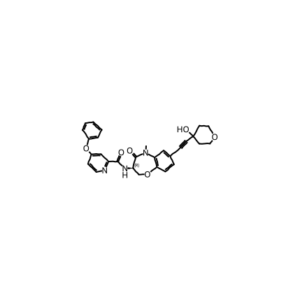 CN1C(=O)[C@H](NC(=O)c2cc(Oc3ccccc3)ccn2)COc2ccc(C#CC3(O)CCOCC3)cc21